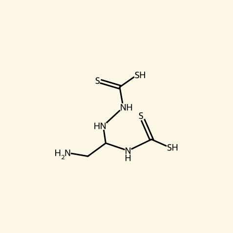 NCC(NNC(=S)S)NC(=S)S